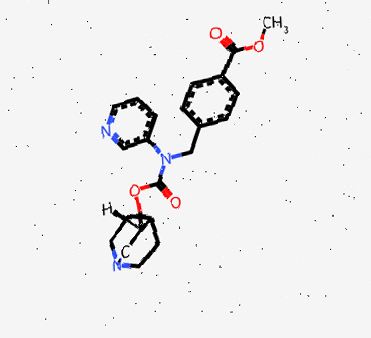 COC(=O)c1ccc(CN(C(=O)O[C@H]2CN3CCC2CC3)c2cccnc2)cc1